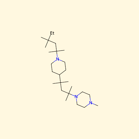 CCC(C)(C)CC(C)(C)N1CCC(C(C)(C)CC(C)(C)N2CCN(C)CC2)CC1